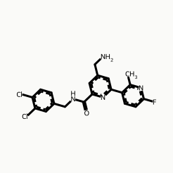 Cc1nc(F)ccc1-c1cc(CN)cc(C(=O)NCc2ccc(Cl)c(Cl)c2)n1